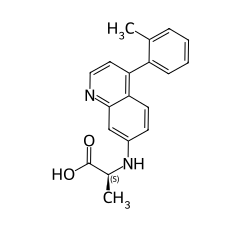 Cc1ccccc1-c1ccnc2cc(N[C@@H](C)C(=O)O)ccc12